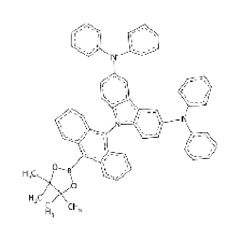 CC1(C)OB(c2c3ccccc3c(-n3c4ccc(N(c5ccccc5)c5ccccc5)cc4c4cc(N(c5ccccc5)c5ccccc5)ccc43)c3ccccc23)OC1(C)C